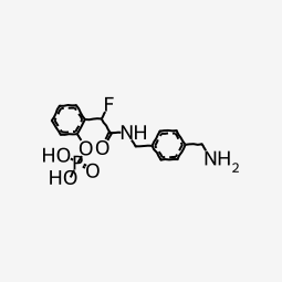 NCc1ccc(CNC(=O)C(F)c2ccccc2OP(=O)(O)O)cc1